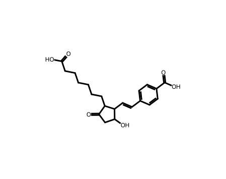 O=C(O)CCCCCCC1C(=O)CC(O)C1/C=C/c1ccc(C(=O)O)cc1